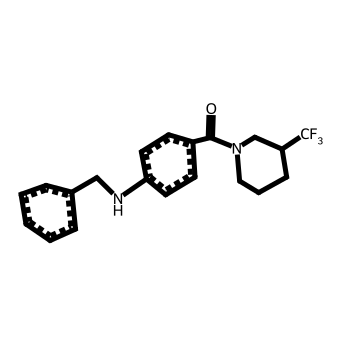 O=C(c1ccc(NCc2ccccc2)cc1)N1CCCC(C(F)(F)F)C1